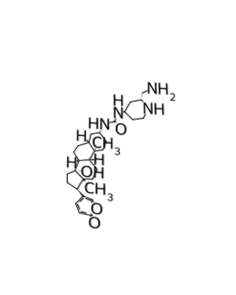 C[C@@]12CC[C@@H](NC(=O)N[C@@H]3CCN[C@@H](CN)C3)C[C@H]1CC[C@@H]1[C@H]2CC[C@]2(C)[C@@H](c3ccc(=O)oc3)CC[C@@]12O